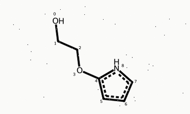 OCCOc1ccc[nH]1